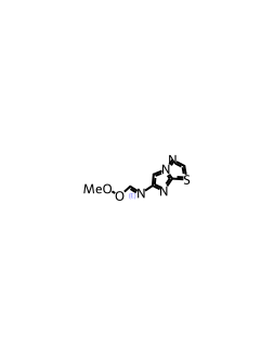 COO/C=N/c1cn2ncsc2n1